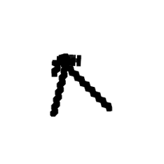 CCCCCCCCCCCCCCCCC(CCCCCCCCCCCCC)c1[nH]cc[n+]1C(C)CCC